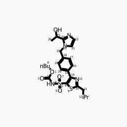 CCCCOC(=O)NS(=O)(=O)c1sc(CC(C)C)nc1-c1ccc(Cn2ccnc2C(C)O)cc1